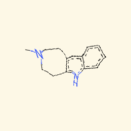 CN1CCc2[nH]c3ccccc3c2CC1